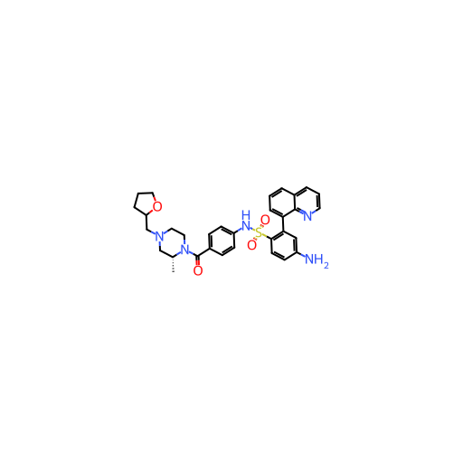 C[C@@H]1CN(CC2CCCO2)CCN1C(=O)c1ccc(NS(=O)(=O)c2ccc(N)cc2-c2cccc3cccnc23)cc1